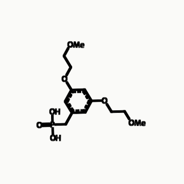 COCCOc1cc(CP(=O)(O)O)cc(OCCOC)c1